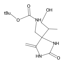 C=C1NC(=O)NC1(CNC(=O)OC(C)(C)C)C(C)CO